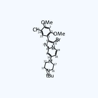 COc1cc(OC)c(-c2nc3cc(N4CCN(C(C)(C)C)CC4)ccn3c2Br)cc1Cl